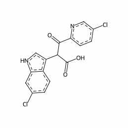 O=C(O)C(C(=O)c1ccc(Cl)cn1)c1c[nH]c2cc(Cl)ccc12